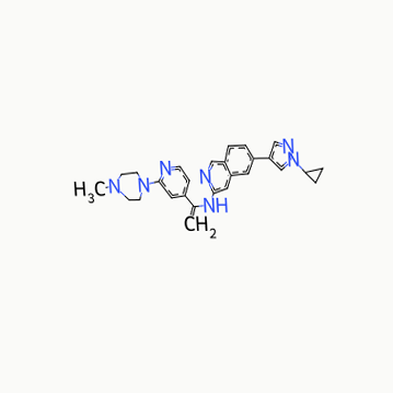 C=C(Nc1cc2cc(-c3cnn(C4CC4)c3)ccc2cn1)c1ccnc(N2CCN(C)CC2)c1